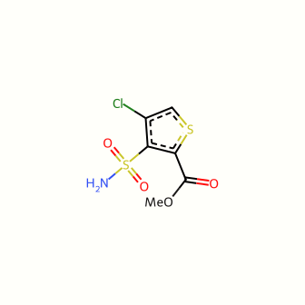 COC(=O)c1scc(Cl)c1S(N)(=O)=O